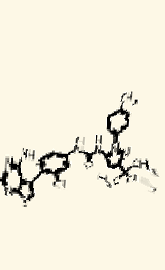 Cc1ccc(-n2nc(C(C)(C)C)cc2NC(=O)Nc2ccc(-c3csc4ncnc(N)c34)c(Cl)c2)cc1